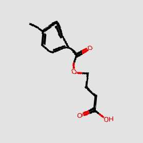 Cc1ccc(C(=O)OCCCC(=O)O)cc1